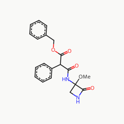 COC1(NC(=O)C(C(=O)OCc2ccccc2)c2ccccc2)CNC1=O